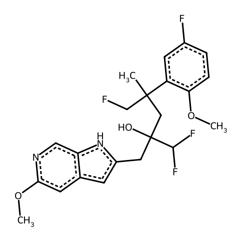 COc1cc2cc(CC(O)(CC(C)(CF)c3cc(F)ccc3OC)C(F)F)[nH]c2cn1